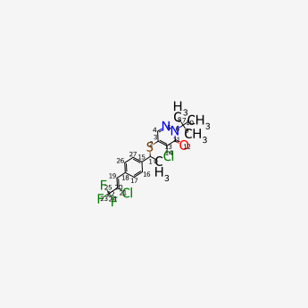 CC(Sc1cnn(C(C)(C)C)c(=O)c1Cl)c1ccc(C=C(Cl)C(F)(F)F)cc1